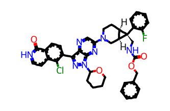 O=C(NC[C@]1(c2ccccc2F)[C@@H]2CCN(c3cnc4c(-c5ccc6c(=O)[nH]ccc6c5Cl)nn(C5CCCCO5)c4n3)C[C@@H]21)OCc1ccccc1